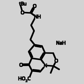 CC(C)(C)OC(=O)NCCCc1cc2c3c(c1)c(=O)c(C(=O)O)cn3C(C)(C)OC2.[NaH]